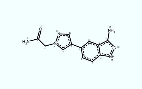 NC(=O)Cn1cc(-c2ccc3[nH]nc(N)c3c2)cn1